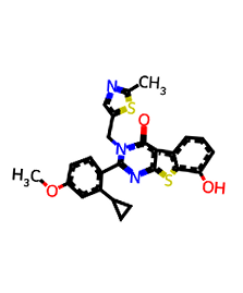 COc1ccc(-c2nc3sc4c(O)cccc4c3c(=O)n2Cc2cnc(C)s2)c(C2CC2)c1